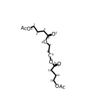 CC(=O)OCCCC(=O)OCCCOC(=O)CCCOC(C)=O